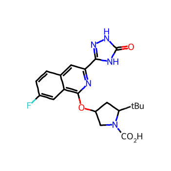 CC(C)(C)C1CC(Oc2nc(-c3n[nH]c(=O)[nH]3)cc3ccc(F)cc23)CN1C(=O)O